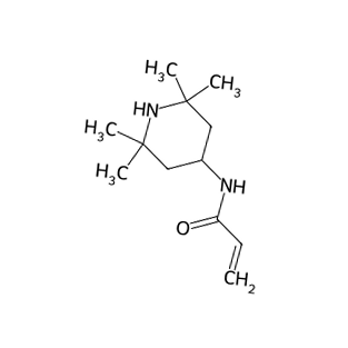 C=CC(=O)NC1CC(C)(C)NC(C)(C)C1